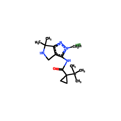 CCOC(=O)n1nc2c(c1NC(=O)C1([Si](C)(C)C)CC1)CNC2(C)C.Cl